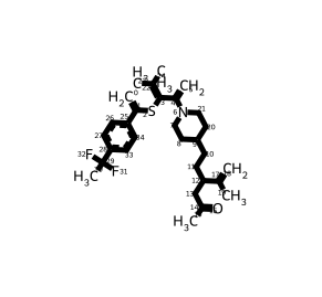 C=C(SC(C(=C)N1CCC(CCC(CC(C)=O)C(=C)C)CC1)=C(C)C)c1ccc(C(C)(F)F)cc1